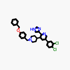 Clc1ccc(-c2cnc(-c3c[nH]cn3)c(C3CCN(Cc4ccc(OCc5ccccc5)cc4)CC3)c2)cc1Cl